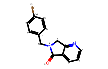 O=C1c2cccnc2CN1Cc1ccc(Br)cc1